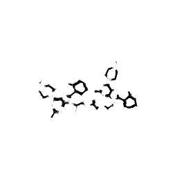 Cc1nc(N2CCN(C)CC2)c2nc(-c3ccccc3Cl)n([C@H](C)COC(=O)C(=O)OC[C@@H](C)n3c(-c4ccccc4Cl)nc4c(N5CCN(C)CC5)nc(C)nc43)c2n1